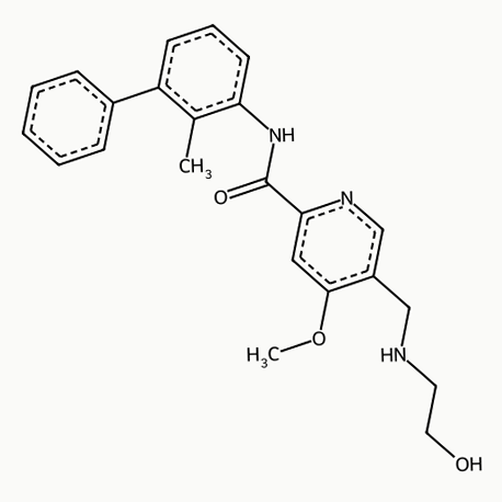 COc1cc(C(=O)Nc2cccc(-c3ccccc3)c2C)ncc1CNCCO